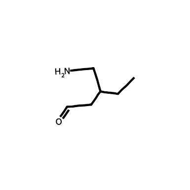 CCC(CN)CC=O